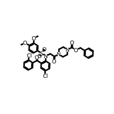 COc1ccc(S(=O)(=O)N(CC(=O)N2CCN(C(=O)OCc3ccccc3)CC2)c2ccc(Cl)cc2C(=O)c2ccccc2Cl)cc1OC